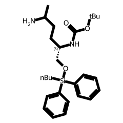 CCCC[Si](OC[C@H](CCC(C)N)NC(=O)OC(C)(C)C)(c1ccccc1)c1ccccc1